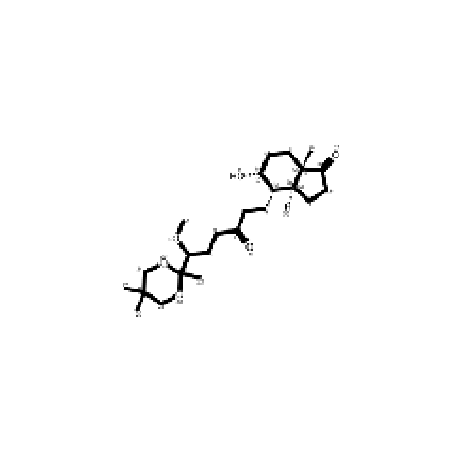 COC(CCC(=O)CC[C@@H]1[C@H](O)CC[C@]2(C)C(=O)CC[C@@H]12)C1(C)OCC(C)(C)CO1